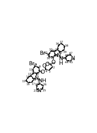 O=C(/C=C\C(=O)Oc1cc(Br)cc2c3ccccc3n(Nc3ccncc3)c12)Oc1cc(Br)cc2c3ccccc3n(Nc3ccncc3)c12